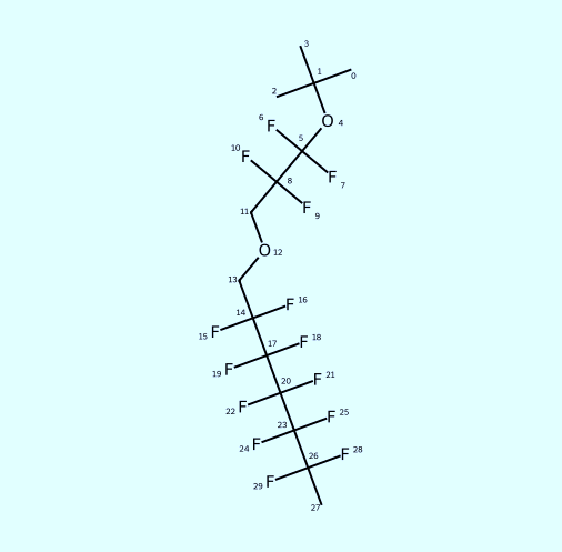 CC(C)(C)OC(F)(F)C(F)(F)COCC(F)(F)C(F)(F)C(F)(F)C(F)(F)C(C)(F)F